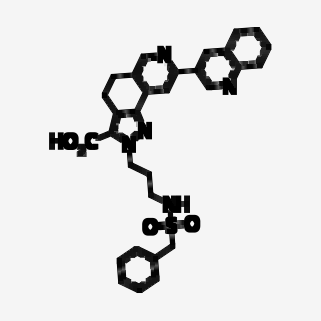 O=C(O)c1c2c(nn1CCCNS(=O)(=O)Cc1ccccc1)-c1cc(-c3cnc4ccccc4c3)ncc1CC2